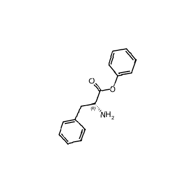 N[C@H](Cc1ccccc1)C(=O)Oc1ccccc1